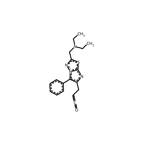 CCN(CC)Cc1nn2c(-c3ccccc3)c(CC=C=O)nc2s1